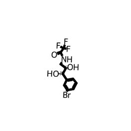 O=C(NC[C@H](O)[C@@H](O)c1cccc(Br)c1)C(F)(F)F